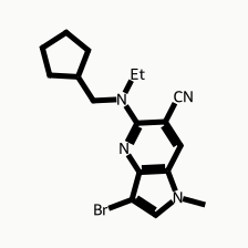 CCN(CC1CCCC1)c1nc2c(Br)cn(C)c2cc1C#N